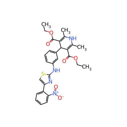 CCOC(=O)C1=C(C)NC(C)=C(C(=O)OCC)C1c1cccc(Nc2nc(-c3ccccc3[N+](=O)[O-])cs2)c1